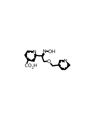 O=C(O)c1ccnc(/C(COCc2cccnc2)=N/O)c1